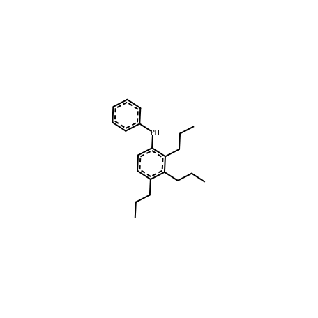 CCCc1ccc(Pc2ccccc2)c(CCC)c1CCC